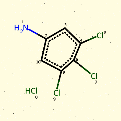 Cl.Nc1cc(Cl)c(Cl)c(Cl)c1